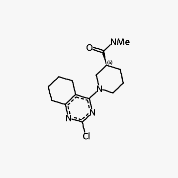 CNC(=O)[C@H]1CCCN(c2nc(Cl)nc3c2CCCC3)C1